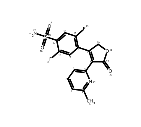 Cc1cccc(C2=C(c3cc(F)c(S(N)(=O)=O)cc3F)COC2=O)n1